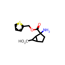 NC1(C(=O)OCc2cccs2)CCC2C(C(=O)O)C21